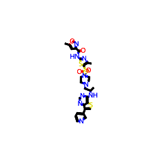 Cc1cc(C(=O)Nc2nc(C)c(S(=O)(=O)N3CCN(CC(C)Nc4ncnc5c(-c6cccnc6)csc45)CC3)s2)no1